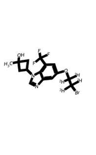 [2H]C([2H])(Br)C([2H])([2H])Oc1cc(C(F)(F)F)c2c(c1)ncn2C1CC(C)(O)C1